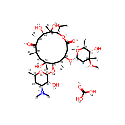 CC[C@H]1OC(=O)[C@H](C)[C@@H](O[C@H]2C[C@@](C)(OC)[C@@H](O)[C@H](C)O2)[C@H](C)[C@@H](O[C@@H]2O[C@H](C)C[C@H](N(C)C)[C@H]2O)[C@](C)(O)C[C@@H](C)C(=O)[C@H](C)[C@@H](O)[C@]1(C)O.O=C(O)O